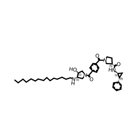 CCCCCCCCCCCCCCCN[C@H]1CN(C(=O)c2ccc(C(=O)N3CC[C@H](C(=O)N[C@H]4C[C@@H]4c4ccccc4)C3)cc2)C[C@@H]1O